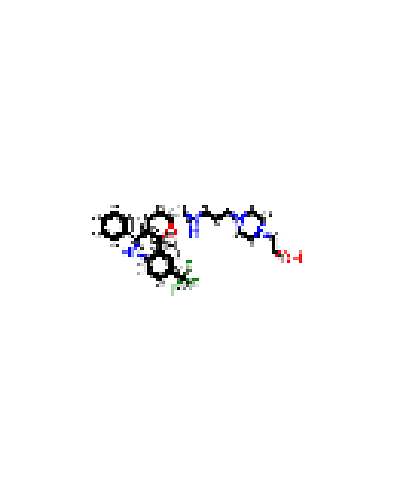 OCCN1CCN(CCCNC[C@H]2CC[C@@H]3[C@H](O2)c2cc(C(F)(F)F)ccc2N[C@H]3c2ccccc2)CC1